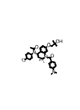 CC(=O)N(c1ccc(Cl)cc1)[C@H]1C[C@@H](C)N(C(=O)c2ccc(N(C)C)cc2)c2cc(OCC(C)(C)O)ccc21